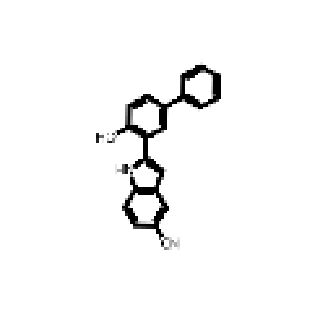 N#Cc1ccc2[nH]c(-c3cc(-c4ccccc4)ccc3O)cc2c1